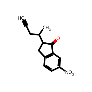 C#CCC(C)C1Cc2ccc([N+](=O)[O-])cc2C1=O